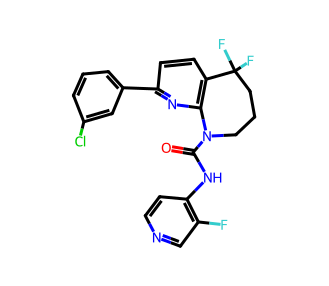 O=C(Nc1ccncc1F)N1CCCC(F)(F)c2ccc(-c3cccc(Cl)c3)nc21